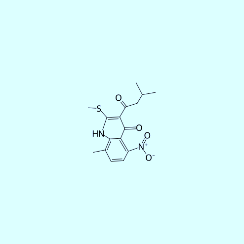 CSc1[nH]c2c(C)ccc([N+](=O)[O-])c2c(=O)c1C(=O)CC(C)C